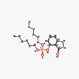 CCCCCCOP(=O)(OCCCCCC)Oc1cccc2c1C(=O)CC2